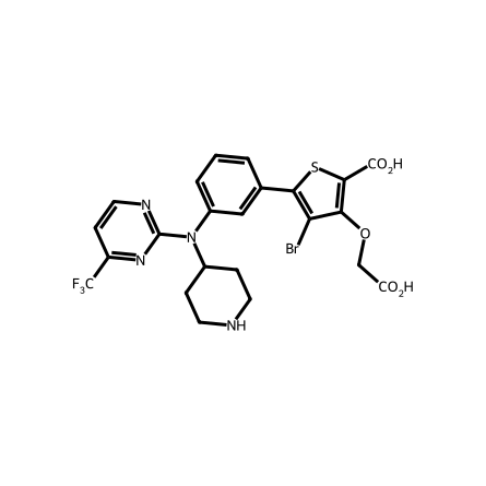 O=C(O)COc1c(C(=O)O)sc(-c2cccc(N(c3nccc(C(F)(F)F)n3)C3CCNCC3)c2)c1Br